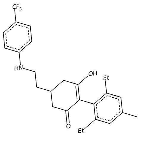 CCc1cc(C)cc(CC)c1C1=C(O)CC(CCNc2ccc(C(F)(F)F)cc2)CC1=O